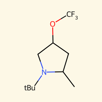 CC1CC(OC(F)(F)F)CN1C(C)(C)C